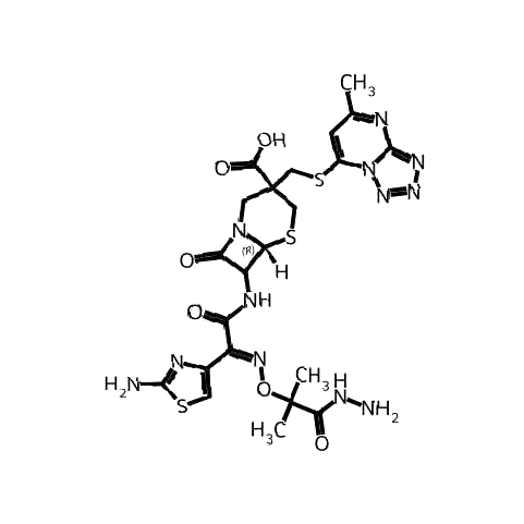 Cc1cc(SCC2(C(=O)O)CS[C@@H]3C(NC(=O)C(=NOC(C)(C)C(=O)NN)c4csc(N)n4)C(=O)N3C2)n2nnnc2n1